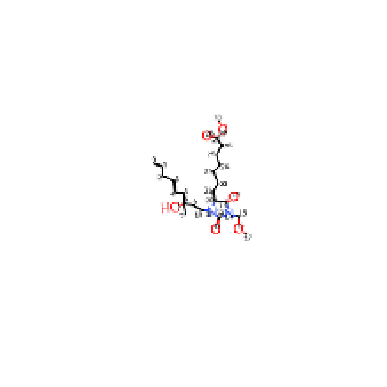 CCCCCCC(C)(O)CCN1C(=O)N(COC)C(=O)C1CCCCCCC(=O)OC